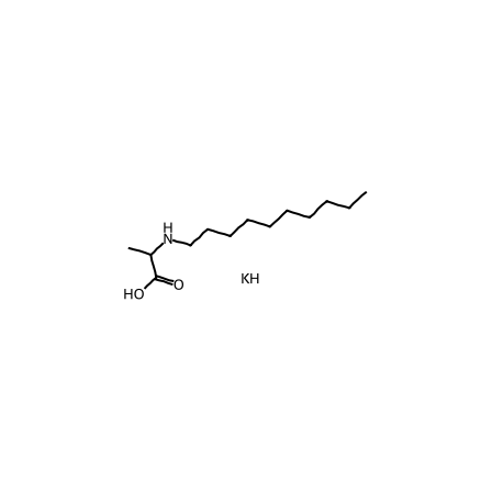 CCCCCCCCCCNC(C)C(=O)O.[KH]